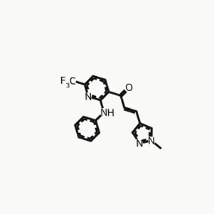 Cn1cc(C=CC(=O)c2ccc(C(F)(F)F)nc2Nc2ccccc2)cn1